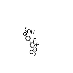 C=CC(=O)Oc1ccc(-c2ccc(OC(O)C=C)cc2)c(F)c1F